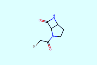 O=C1NC2CCN(C(=O)CBr)C12